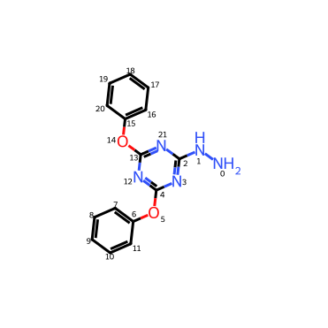 NNc1nc(Oc2ccccc2)nc(Oc2ccccc2)n1